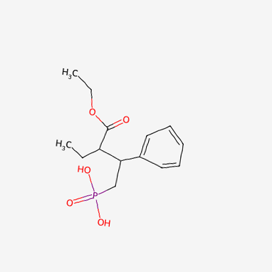 CCOC(=O)C(CC)C(CP(=O)(O)O)c1ccccc1